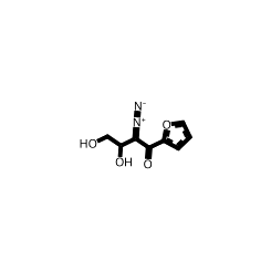 [N-]=[N+]=C(C(=O)c1ccco1)C(O)CO